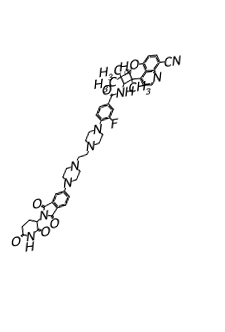 CC1(C)C(NC(=O)c2ccc(N3CCN(CCN4CCN(c5ccc6c(c5)C(=O)N(C5CCC(=O)NC5=O)C6=O)CC4)CC3)c(F)c2)C2(C)c3ccnc4c(C#N)ccc(c34)O[C@@H]12